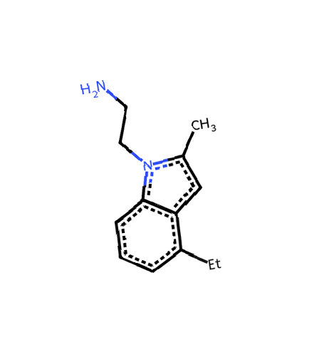 CCc1cccc2c1cc(C)n2CCN